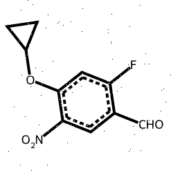 O=Cc1cc([N+](=O)[O-])c(OC2CC2)cc1F